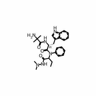 CCC(C(=O)NN(C)C)N(C(=O)[C@@H](Cc1c[nH]c2ccccc12)NC(=O)C(C)(C)N)c1ccccc1